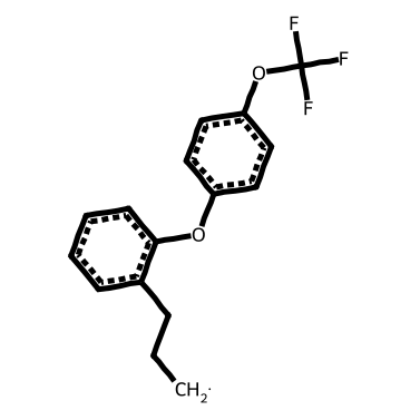 [CH2]CCc1ccccc1Oc1ccc(OC(F)(F)F)cc1